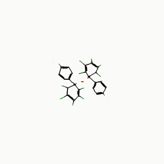 ClC1=C(Cl)C(Cl)C(SSC2(c3ccc(Br)cc3)C(Cl)=C(Cl)C(Cl)=C(Cl)C2Cl)(c2ccc(Br)cc2)C(Cl)=C1Cl